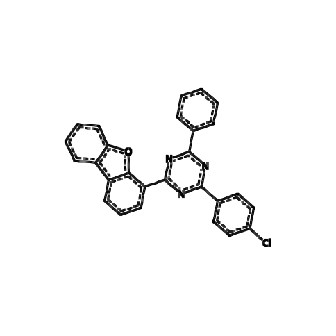 Clc1ccc(-c2nc(-c3ccccc3)nc(-c3cccc4c3oc3ccccc34)n2)cc1